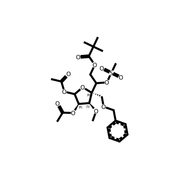 CO[C@H]1[C@@H](OC(C)=O)C(OC(C)=O)O[C@@]1(COCc1ccccc1)C(COC(=O)C(C)(C)C)OS(C)(=O)=O